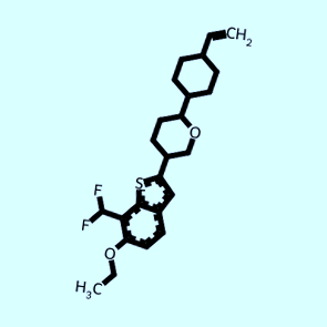 C=CC1CCC(C2CCC(c3cc4ccc(OCC)c(C(F)F)c4s3)CO2)CC1